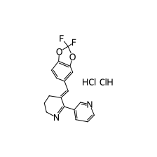 Cl.Cl.FC1(F)Oc2ccc(C=C3CCCN=C3c3cccnc3)cc2O1